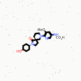 COc1cc(NC(=O)O)cnc1N1CCC[C@]2(CCN([C@H]3CC[C@H](O)CC3)C2=O)C1